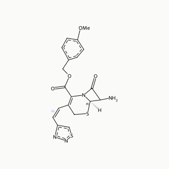 COc1ccc(COC(=O)C2=C(/C=C\c3csnn3)CS[C@@H]3C(N)C(=O)N23)cc1